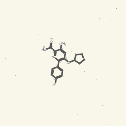 Nc1cc(SC2CCCC2)c(-c2ccc(F)cc2)nc1C(=O)O